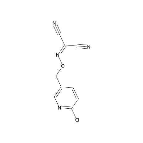 N#CC(C#N)=NOCc1ccc(Cl)nc1